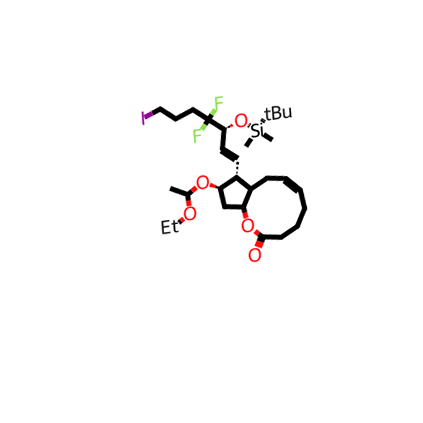 CCOC(C)O[C@@H]1CC2OC(=O)CCC/C=C\CC2[C@H]1/C=C/[C@@H](O[Si](C)(C)C(C)(C)C)C(F)(F)CCCI